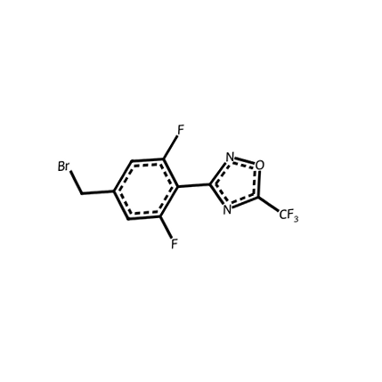 Fc1cc(CBr)cc(F)c1-c1noc(C(F)(F)F)n1